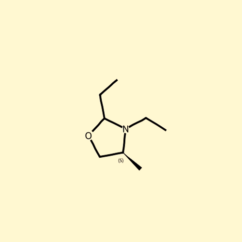 CCC1OC[C@H](C)N1CC